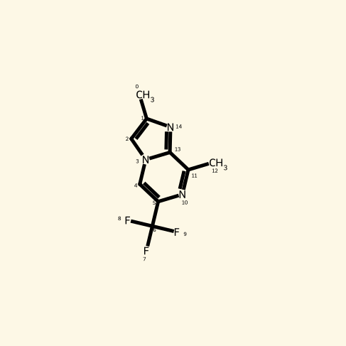 Cc1cn2cc(C(F)(F)F)nc(C)c2n1